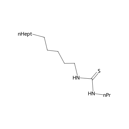 CCCCCCCCCCCCNC(=S)NCCC